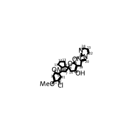 COc1cc(OC)c(CCC2(C3CCCC3)CC(O)=C(Cc3cn4cccnc4n3)C(=O)O2)cc1Cl